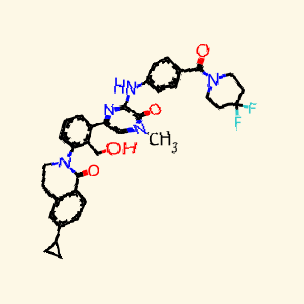 Cn1cc(-c2cccc(N3CCc4cc(C5CC5)ccc4C3=O)c2CO)nc(Nc2ccc(C(=O)N3CCC(F)(F)CC3)cc2)c1=O